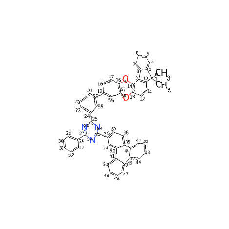 CC1(C)c2ccccc2-c2c1ccc1c2Oc2ccc(-c3cccc(-c4nc(-c5ccccc5)nc(-c5ccc6c7ccccc7c7ccccc7c6c5)n4)c3)cc2O1